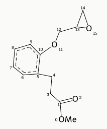 COC(=O)CCc1ccccc1OCC1CO1